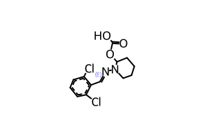 O=C(O)OC1CCCCN1/N=C/c1c(Cl)cccc1Cl